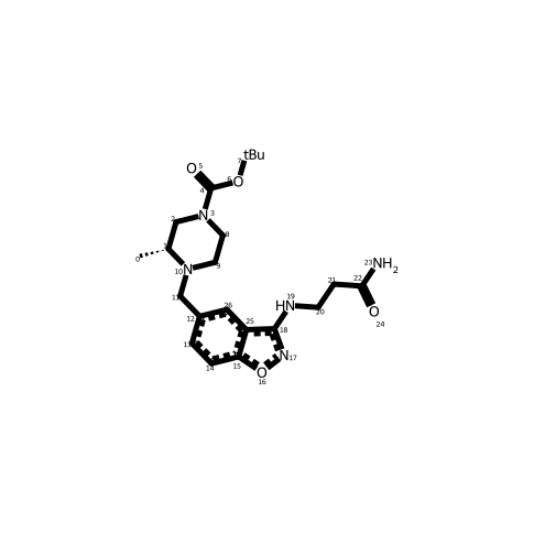 C[C@@H]1CN(C(=O)OC(C)(C)C)CCN1Cc1ccc2onc(NCCC(N)=O)c2c1